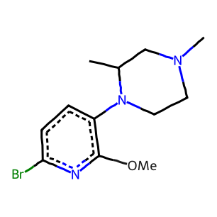 COc1nc(Br)ccc1N1CCN(C)CC1C